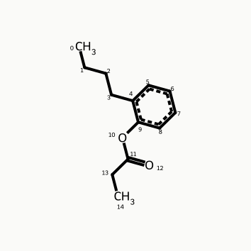 CCCCc1ccccc1OC(=O)CC